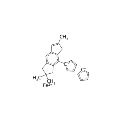 CC1=Cc2cc3c(c(-[c-]4cccc4)c2C1)CC(C)(C)C3.[Fe+2].c1cc[cH-]c1